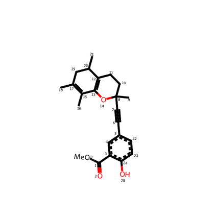 COC(=O)c1cc(C#CC2(C)CCC3=C(O2)C(C)=C(C)CC3C)ccc1O